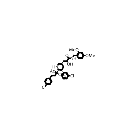 COc1ccc(CNC(=O)C(O)C[C@@H]2CN[C@H](C(C)(CCc3ccc(Cl)cc3)C(C)=O)[C@@H](c3cccc(Cl)c3)C2)c(OC)c1